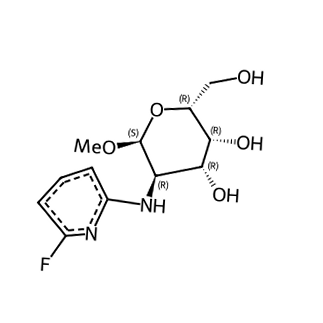 CO[C@H]1O[C@H](CO)[C@H](O)[C@H](O)[C@H]1Nc1cccc(F)n1